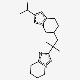 CC(C)c1cc2n(c1)CC(CC(C)(C)c1cn3c(n1)CCCC3)CC2